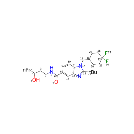 CCCC(O)CCNC(=O)c1ccc2c(c1)nc(C(C)(C)C)n2CC1CCC(F)(F)CC1